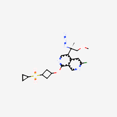 COC[C@@](C)(N=[N+]=[N-])c1cnc(OC2CC(S(=O)(=O)C3CC3)C2)c2cnc(Cl)cc12